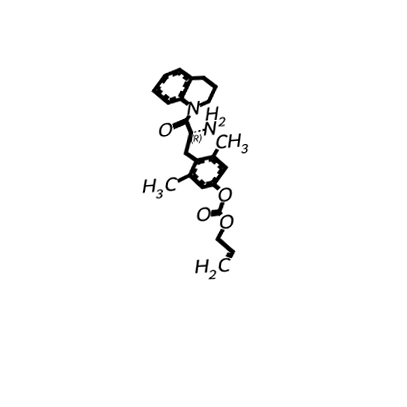 C=CCOC(=O)Oc1cc(C)c(C[C@@H](N)C(=O)N2CCCc3ccccc32)c(C)c1